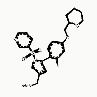 CNCc1cc(-c2ccc(OCC3CCCCO3)cc2F)n(S(=O)(=O)c2cccnc2)c1